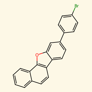 Brc1ccc(-c2ccc3c(c2)oc2c4ccccc4ccc32)cc1